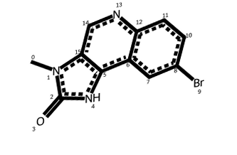 Cn1c(=O)[nH]c2c3cc(Br)ccc3ncc21